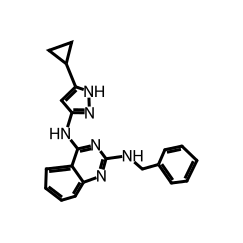 c1ccc(CNc2nc(Nc3cc(C4CC4)[nH]n3)c3ccccc3n2)cc1